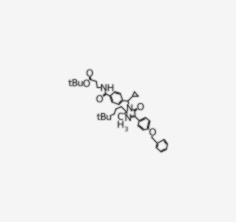 CC(C)(C)CCCC1(C)N=C(c2ccc(OCc3ccccc3)cc2)C(=O)N1C(c1ccc(C(=O)NCCC(=O)OC(C)(C)C)cc1)C1CC1